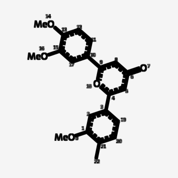 COc1cc(-c2cc(=O)cc(-c3ccc(OC)c(OC)c3)o2)ccc1C